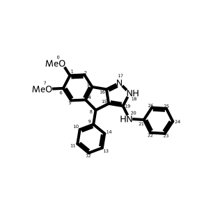 COc1cc2c(cc1OC)C(c1ccccc1)c1c-2n[nH]c1Nc1ccccc1